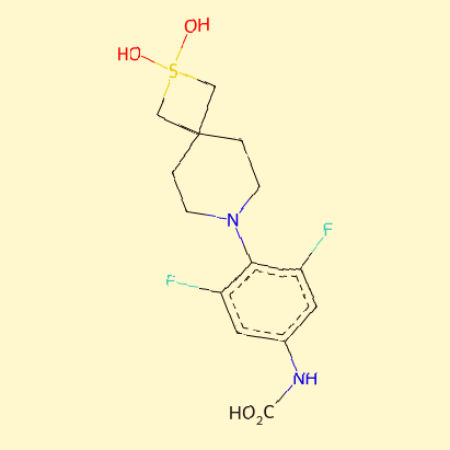 O=C(O)Nc1cc(F)c(N2CCC3(CC2)CS(O)(O)C3)c(F)c1